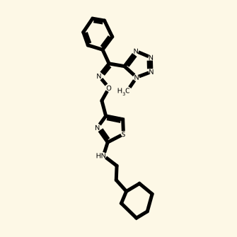 Cn1nnnc1C(=NOCc1csc(NCCC2CCCCC2)n1)c1ccccc1